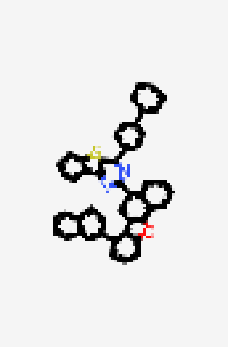 c1ccc(-c2ccc(-c3nc(-c4cc5c(oc6cccc(-c7ccc8ccccc8c7)c65)c5ccccc45)nc4c3sc3ccccc34)cc2)cc1